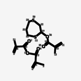 C=C(C)C(=O)OC(=O)C(=C)C.C=C(C)C(=O)OC1CSCCCS1